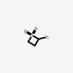 CCC1CCS1(=O)=O